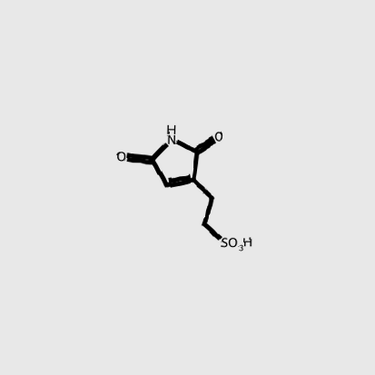 O=C1C=C(CCS(=O)(=O)O)C(=O)N1